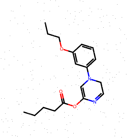 CCCCC(=O)OC1=CN(c2cccc(OCCC)c2)CC=N1